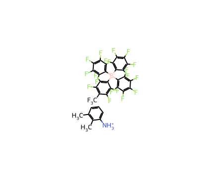 Cc1cccc([NH3+])c1C.Fc1c(F)c(F)c([B-](c2c(F)c(F)c(F)c(F)c2F)(c2c(F)c(F)c(F)c(F)c2F)c2c(F)c(F)c(C(F)(F)F)c(F)c2F)c(F)c1F